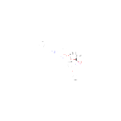 CC(C)(C)OC(=O)N(CCCNC(=O)OCc1ccccc1)CC(O[Si](C)(C)C(C)(C)C)c1ccc(OCc2ccccc2)c2[nH]c(=O)ccc12